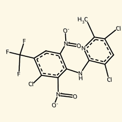 Cc1nc(Nc2c([N+](=O)[O-])cc(C(F)(F)F)c(Cl)c2[N+](=O)[O-])c(Cl)cc1Cl